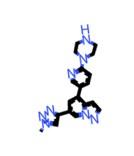 Cn1cc(-c2cc(-c3ccc(N4CCNCC4)nc3)c3ccnn3c2)nn1